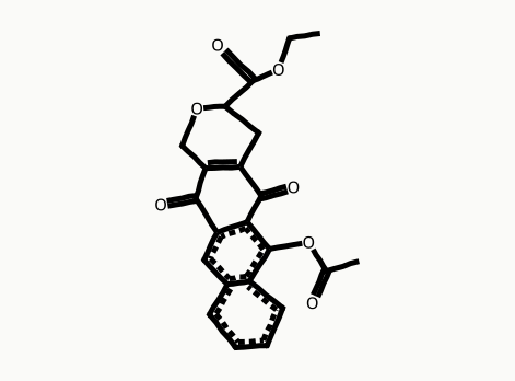 CCOC(=O)C1CC2=C(CO1)C(=O)c1cc3ccccc3c(OC(C)=O)c1C2=O